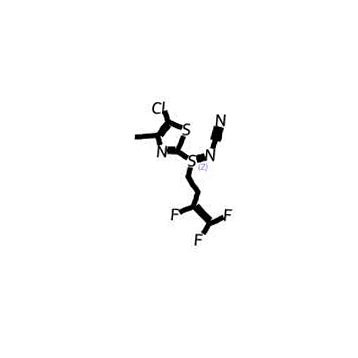 Cc1nc(/S(CCC(F)=C(F)F)=N\C#N)sc1Cl